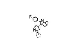 Fc1ccc(-c2nc3occn3c2-c2ccnc(N3CCCC3)n2)cc1